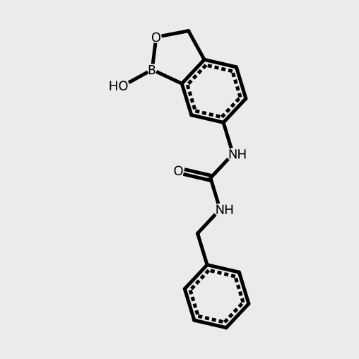 O=C(NCc1ccccc1)Nc1ccc2c(c1)B(O)OC2